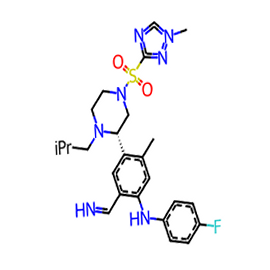 Cc1cc(Nc2ccc(F)cc2)c(C=N)cc1[C@H]1CN(S(=O)(=O)c2ncn(C)n2)CCN1CC(C)C